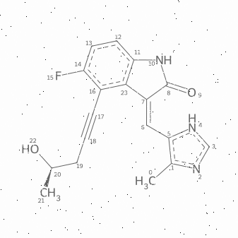 Cc1nc[nH]c1/C=C1\C(=O)Nc2ccc(F)c(C#CC[C@@H](C)O)c21